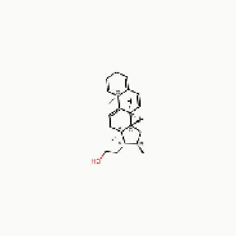 C[C@@H]1C[C@H]2[C@@H]3C=CC4=CCC=C[C@]4(C)C3=CC[C@]2(C)[C@H]1CCO